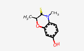 CC1Oc2cc(O)ccc2N(C)C1=S